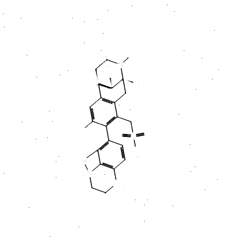 CN1CC[C@]23CCCC[C@H]2[C@H]1Cc1c3cc(O)c(-c2ccc3c4c2on4CCO3)c1CS(=O)(=O)O